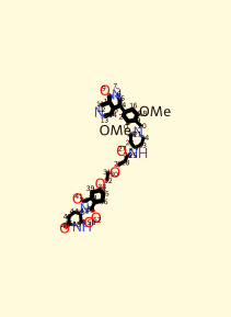 COc1cc(-c2cn(C)c(=O)c3cnccc23)cc(OC)c1CN1CCC(NC(=O)CCOCCOc2ccc3c(c2)C(=O)N(C2CCC(=O)NC2=O)C3=O)CC1